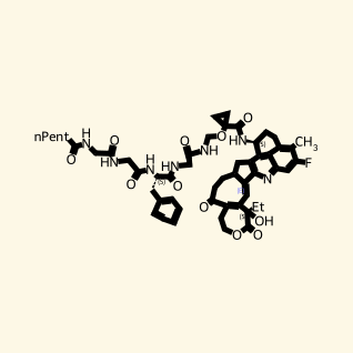 CCCCCC(=O)NCC(=O)NCC(=O)N[C@@H](Cc1ccccc1)C(=O)NCC(=O)NCOC1(C(=O)N[C@H]2CCc3c(C)c(F)cc4nc5c(c2c34)CC2CCC(=O)C3=C(/C=C/52)[C@@](O)(CC)C(=O)OCC3)CC1